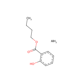 CCCCOC(=O)c1ccccc1O.[AlH3]